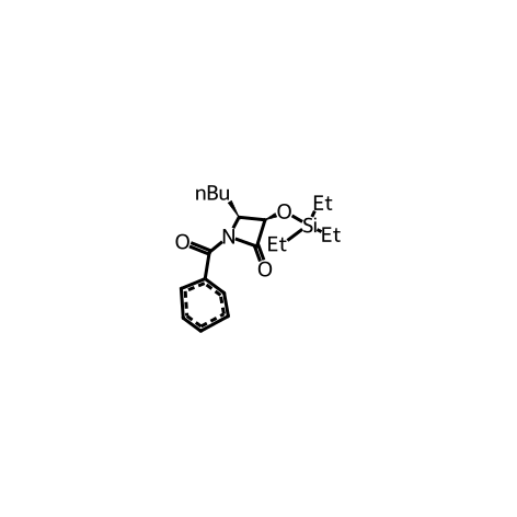 CCCC[C@H]1[C@@H](O[Si](CC)(CC)CC)C(=O)N1C(=O)c1ccccc1